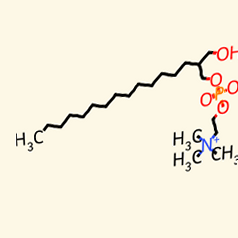 CCCCCCCCCCCCCCC(CO)COP(=O)([O-])OCC[N+](C)(C)C